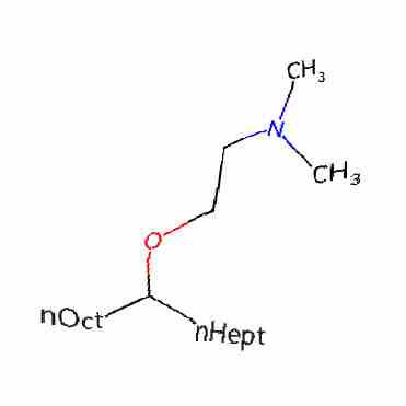 CCCCCCCCC(CCCCCCC)OCCN(C)C